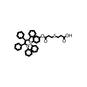 O=C(O)CCSCCC(=O)Oc1ccc(S2(c3ccccc3)C(c3ccccc3)C(c3ccccc3)=C(c3ccccc3)N2c2ccccc2)cc1